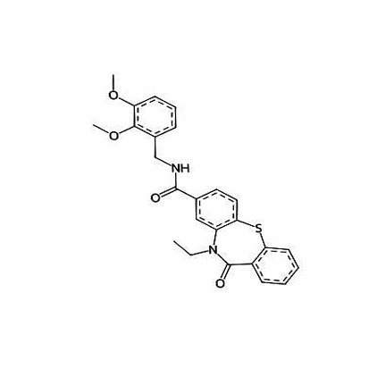 CCN1C(=O)c2ccccc2Sc2ccc(C(=O)NCc3cccc(OC)c3OC)cc21